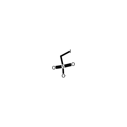 [O]S(=O)(=O)CI